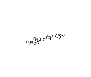 NC(=O)[C@@H]1CCCN1C(=O)c1ccc(-c2cnc(OCC3CCN(CC4(C(F)(F)F)CCC4)CC3)nc2)cc1